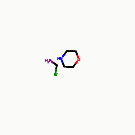 C1COCCN1.PCBr